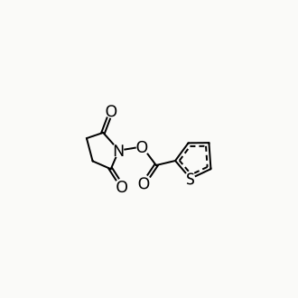 O=C(ON1C(=O)CCC1=O)c1cccs1